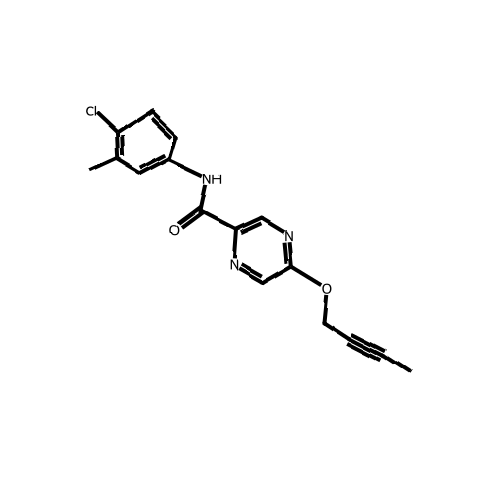 CC#CCOc1cnc(C(=O)Nc2ccc(Cl)c(C)c2)cn1